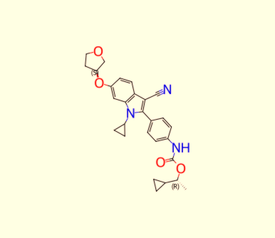 C[C@@H](OC(=O)Nc1ccc(-c2c(C#N)c3ccc(O[C@H]4CCOC4)cc3n2C2CC2)cc1)C1CC1